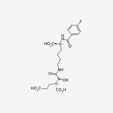 O=C(O)CC[C@@H](C(=O)O)N(O)C(=O)NCCCC[C@H](NC(=O)c1ccc(F)cc1)C(=O)O